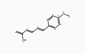 C=C(O)/C=C/C=C/c1ccc(OC)cc1